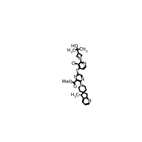 COC(=O)c1nc(Sc2ccnc(N3CC(C(C)(C)O)C3)c2Cl)cnc1N1CCC2(CC1)Cc1ncccc1[C@H]2C